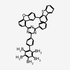 Bc1c(B)c(B)c(-c2ccc(-c3nc(-c4ccccc4)nc(-c4cccc5oc6ccc(-c7cccc8c7sc7ccccc78)cc6c45)n3)cc2)c(B)c1B